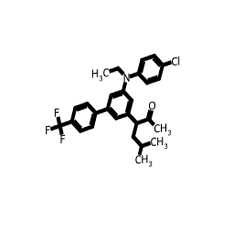 CCN(c1ccc(Cl)cc1)c1cc(-c2ccc(C(F)(F)F)cc2)cc(C(CC(C)C)C(C)=O)c1